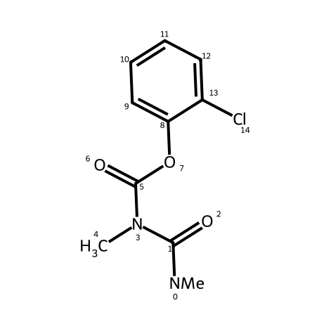 CNC(=O)N(C)C(=O)Oc1ccccc1Cl